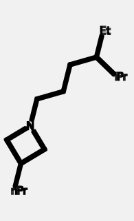 CCCC1CN(CCCC(CC)C(C)C)C1